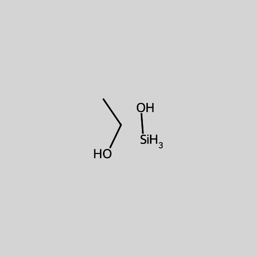 CCO.O[SiH3]